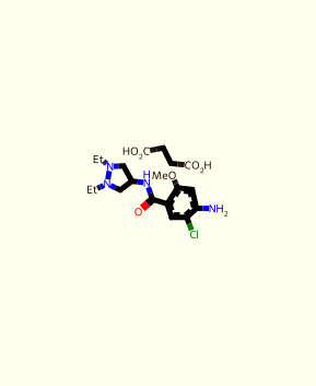 CCN1CC(NC(=O)c2cc(Cl)c(N)cc2OC)CN1CC.O=C(O)CCC(=O)O